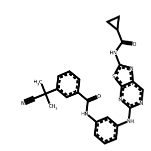 CC(C)(C#N)c1cccc(C(=O)Nc2cccc(Nc3ncc4nc(NC(=O)C5CC5)sc4n3)c2)c1